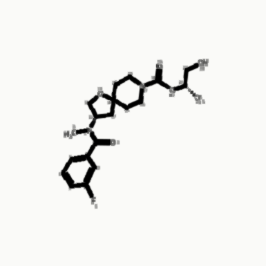 CN(C(=O)c1cccc(F)c1)[C@H]1COC2(CCN(C(=O)O[C@H](CO)C(F)(F)F)CC2)C1